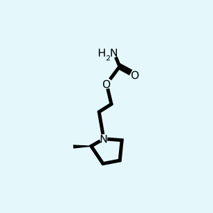 C[C@@H]1CCCN1CCOC(N)=O